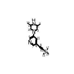 CC1CN(c2cncc(C#C[Si](C)(C)C)c2)CC(C)N1